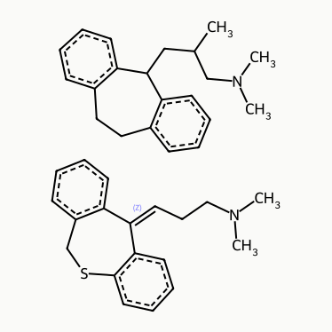 CC(CC1c2ccccc2CCc2ccccc21)CN(C)C.CN(C)CC/C=C1/c2ccccc2CSc2ccccc21